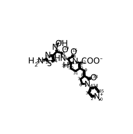 C[n+]1ccc(N2CCC(=CC3=C(C(=O)[O-])N4C(=O)[C@@H](NC(=O)/C(=N\O)c5csc(N)n5)[C@H]4CC3)C2=O)cc1